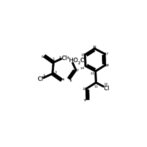 C=C(Cl)C(=C)Cl.C=CC(=O)O.C=CC(Cl)c1ccccc1